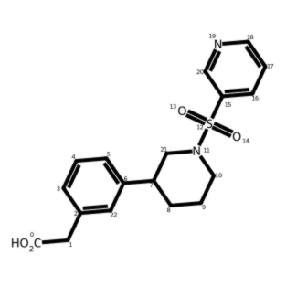 O=C(O)Cc1cccc(C2CCCN(S(=O)(=O)c3cccnc3)C2)c1